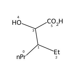 CCCC(CC)C(O)C(=O)O